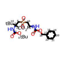 CC(C)(C)OC(=O)NC(CS(=O)(=O)CCNC(=O)OCc1ccccc1)(C(=O)O)C(C)(C)C